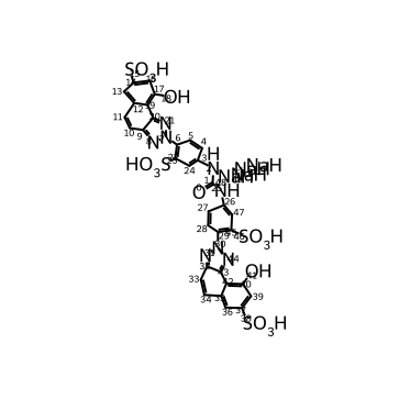 O=C(Nc1ccc(-n2nc3ccc4cc(S(=O)(=O)O)cc(O)c4c3n2)c(S(=O)(=O)O)c1)Nc1ccc(-n2nc3ccc4cc(S(=O)(=O)O)cc(O)c4c3n2)c(S(=O)(=O)O)c1.[NaH].[NaH].[NaH].[NaH]